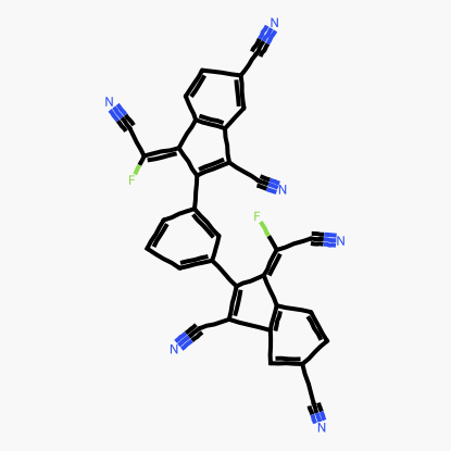 N#CC1=C(c2cccc(C3=C(C#N)c4cc(C#N)ccc4/C3=C(/F)C#N)c2)/C(=C(\F)C#N)c2ccc(C#N)cc21